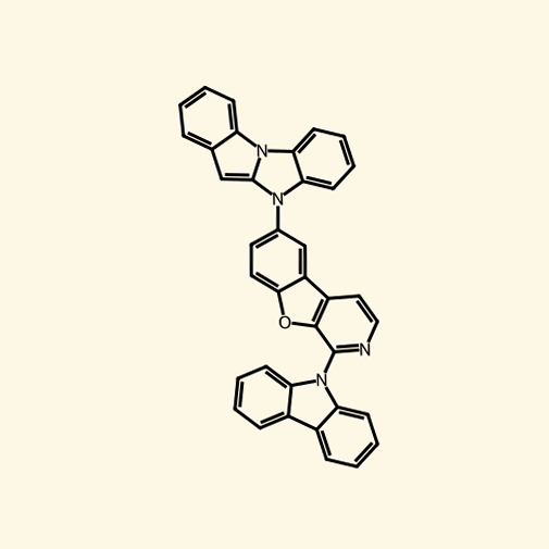 c1ccc2c(c1)cc1n(-c3ccc4oc5c(-n6c7ccccc7c7ccccc76)nccc5c4c3)c3ccccc3n21